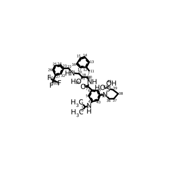 CC(C)Nc1cc(C(=O)N[C@@H](Cc2ccccc2)[C@H](O)CNCc2cccc(C(F)(F)F)c2)cc(N2CCCCS2(O)O)c1